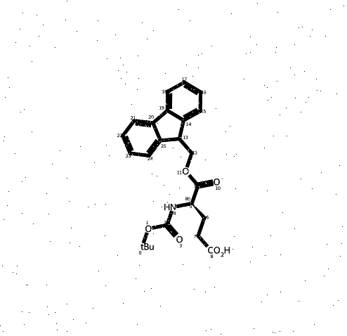 CC(C)(C)OC(=O)N[C@H](CCC(=O)O)C(=O)OCC1c2ccccc2-c2ccccc21